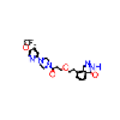 O=C(CCOCCc1cccc2c(=O)[nH]ncc12)N1CCN(c2ccc(OC(F)(F)F)cn2)CC1